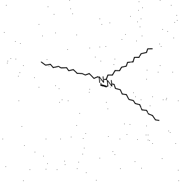 CCCCCCCCCCCCCCCN1C=CN(CCCCCCCCCCCCCCC)C1CCCCCCCCCCCCCC